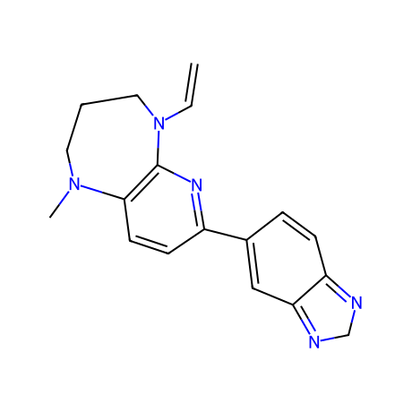 C=CN1CCCN(C)c2ccc(-c3ccc4c(c3)=NCN=4)nc21